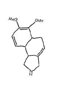 COC1=C(OC)C2CC=C3CNCC3C2C=C1